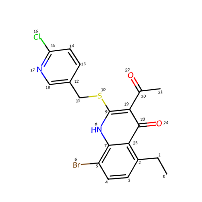 CCc1ccc(Br)c2[nH]c(SCc3ccc(Cl)nc3)c(C(C)=O)c(=O)c12